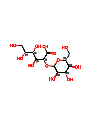 O=C(O)[C@H](OC1O[C@H](CO)[C@@H](O)[C@H](O)[C@H]1O)[C@@H](O)[C@@H](O)[C@H](O)CO